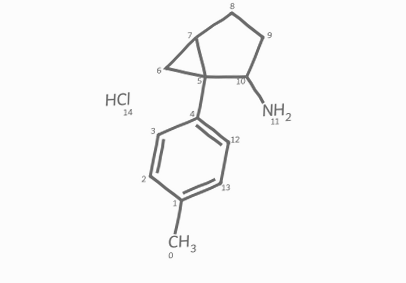 Cc1ccc(C23CC2CCC3N)cc1.Cl